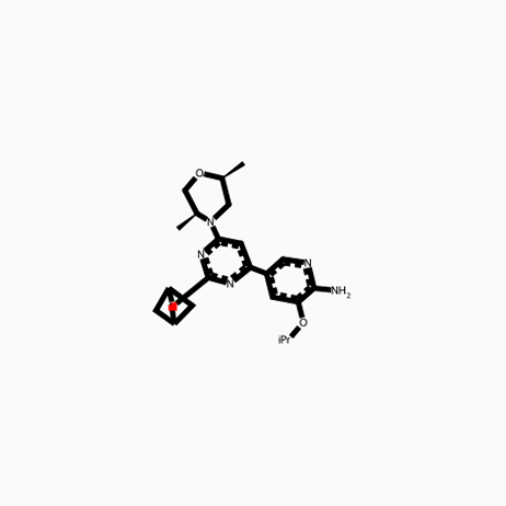 CC(C)Oc1cc(-c2cc(N3C[C@H](C)OC[C@@H]3C)nc(N3CC4CC3C4)n2)cnc1N